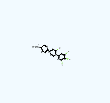 CCCCCc1ccc(-c2ccc(-c3cc(F)c(F)c(F)c3)c(F)c2)cc1